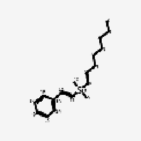 CCCCCCCC[Si](C)(C)[C]=Cc1cc[c]cc1